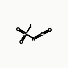 O=C=NS(=O)(=O)I